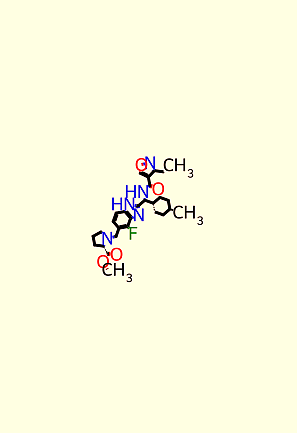 CCc1nocc1C(=O)N[C@H](c1nc2c(F)c(CN3CCC[C@H]3C(=O)OC)ccc2[nH]1)[C@H]1CC[C@H](C)CC1